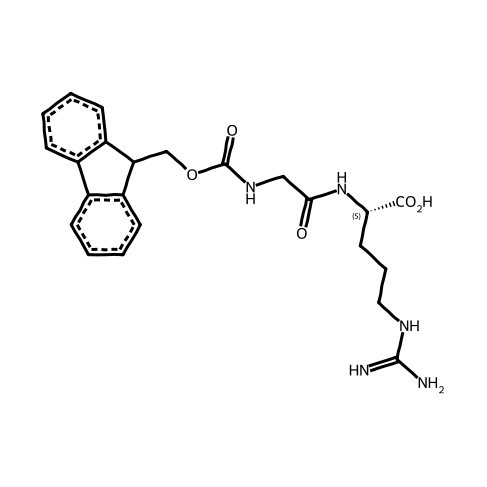 N=C(N)NCCC[C@H](NC(=O)CNC(=O)OCC1c2ccccc2-c2ccccc21)C(=O)O